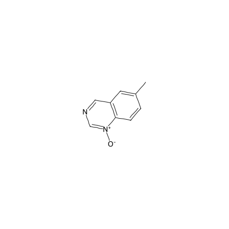 Cc1ccc2c(cnc[n+]2[O-])c1